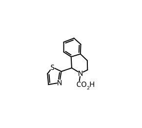 O=C(O)N1CCc2ccccc2C1c1nccs1